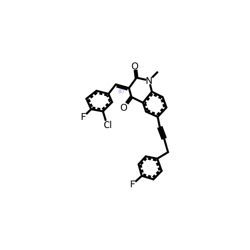 CN1C(=O)/C(=C/c2ccc(F)c(Cl)c2)C(=O)c2cc(C#CCc3ccc(F)cc3)ccc21